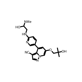 CNC(O)CNc1ccc(-c2cc(OCC(C)(C)O)cn3ncc(C#N)c23)cn1